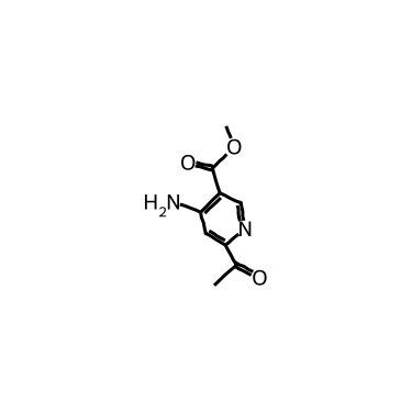 COC(=O)c1cnc(C(C)=O)cc1N